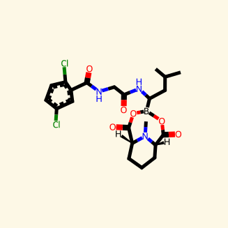 CC(C)CC(NC(=O)CNC(=O)c1cc(Cl)ccc1Cl)B1OC(=O)[C@H]2CCC[C@@H](C(=O)O1)N2C